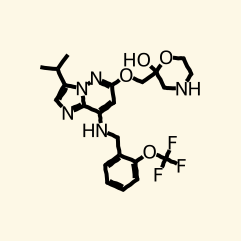 CC(C)c1cnc2c(NCc3ccccc3OC(F)(F)F)cc(OCC3(O)CNCCO3)nn12